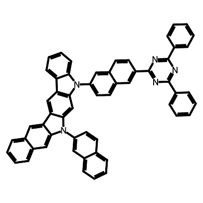 c1ccc(-c2nc(-c3ccccc3)nc(-c3ccc4cc(-n5c6ccccc6c6cc7c8cc9ccccc9cc8n(-c8ccc9ccccc9c8)c7cc65)ccc4c3)n2)cc1